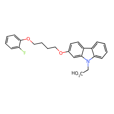 O=C(O)Cn1c2ccccc2c2ccc(OCCCCOc3ccccc3F)cc21